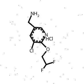 Cl.NCc1cnc(OCC(F)F)c(Cl)c1